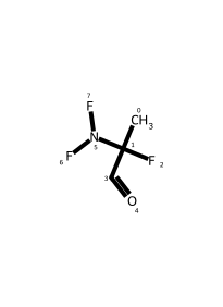 CC(F)([C]=O)N(F)F